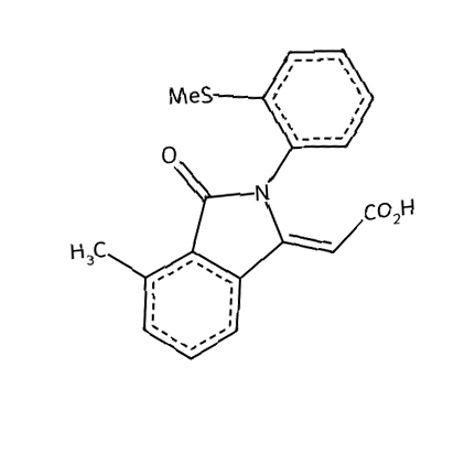 CSc1ccccc1N1C(=O)c2c(C)cccc2C1=CC(=O)O